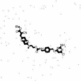 CN(CCOC(=O)NCc1ccc(COc2cc(Cl)nc(N)n2)cc1)c1cc2sc(/C=C(\C#N)C(=O)OC(C)(C)C)cc2s1